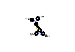 CC(C)(C)c1ccc(NC2(c3ccc(C(C)(C)C)cc3)C=Cc3c(sc4c3sc3cc(N(c5ccc(C(C)(C)C)cc5)c5ccc(C(C)(C)C)cc5)ccc34)C2)cc1